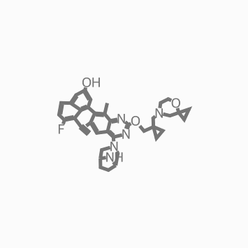 C#Cc1c(F)ccc2cc(O)cc(-c3c(C)cc4c(N5CC6CCC(C5)N6)nc(OCC5(CN6CCOC7(CC7)C6)CC5)nc4c3C)c12